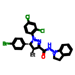 CC[C@@H]1C(C(=O)NN2CCc3ccccc32)=NN(c2ccc(Cl)cc2Cl)[C@H]1c1ccc(Br)cc1